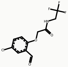 O=Cc1cc(Cl)ccc1OCC(=O)NCC(F)(F)F